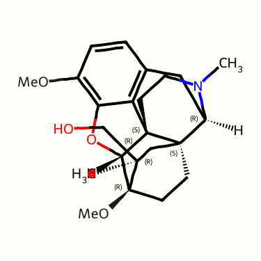 COc1ccc2c3c1O[C@H]1[C@@]4(OC)CC[C@@]5(C[C@]4(C)CO)[C@@H](C2)N(C)CC[C@]315